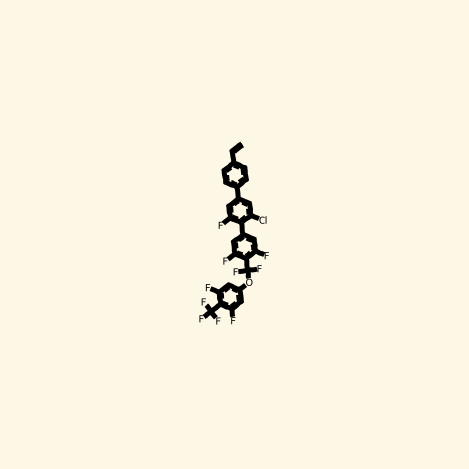 C=Cc1ccc(-c2cc(F)c(-c3cc(F)c(C(F)(F)Oc4cc(F)c(C(F)(F)F)c(F)c4)c(F)c3)c(Cl)c2)cc1